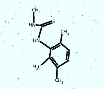 CNC(=S)Nc1c(C)ccc(C)c1C